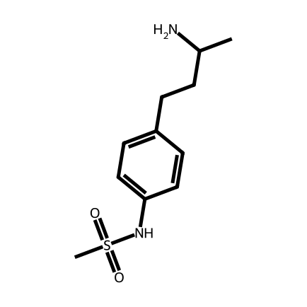 CC(N)CCc1ccc(NS(C)(=O)=O)cc1